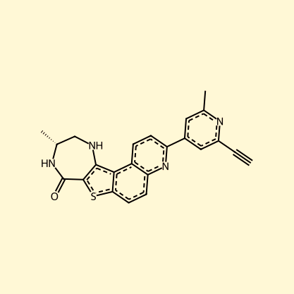 C#Cc1cc(-c2ccc3c(ccc4sc5c(c43)NC[C@@H](C)NC5=O)n2)cc(C)n1